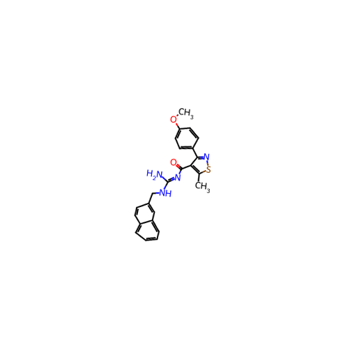 COc1ccc(-c2nsc(C)c2C(=O)/N=C(\N)NCc2ccc3ccccc3c2)cc1